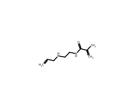 C=CCNCCNC(=O)C(=C)C